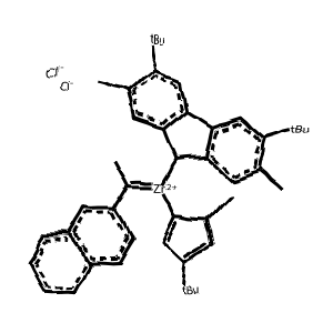 C/[C](c1ccc2ccccc2c1)=[Zr+2](/[C]1=CC(C(C)(C)C)=CC1C)[CH]1c2cc(C)c(C(C)(C)C)cc2-c2cc(C(C)(C)C)c(C)cc21.[Cl-].[Cl-]